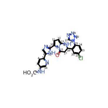 O=C(O)Nc1ccc(-c2cnc(-c3ccc4n3C(=O)CC(c3cc(Cl)ccc3-n3cnnn3)N4)[nH]2)nc1